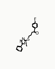 Cn1c(SCCCC(=O)c2ccc(F)cc2)nnc1-c1ccccc1